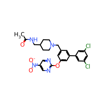 CC(=O)NCC1CCN(Cc2cc(Oc3ncc([N+](=O)[O-])cn3)cc(-c3cc(Cl)cc(Cl)c3)c2)CC1